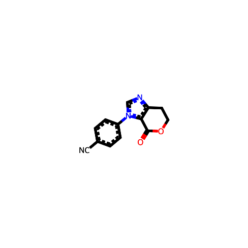 N#Cc1ccc(-n2cnc3c2C(=O)OCC3)cc1